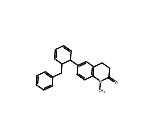 CN1C(=O)CCc2cc(C3C=CC=CC3Cc3ccccc3)ccc21